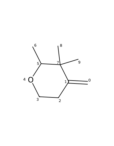 C=C1CCOC(C)C1(C)C